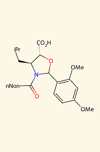 CCCCCCCCCC(=O)N1C(c2ccc(OC)cc2OC)O[C@@H](C(=O)O)[C@@H]1CC(C)C